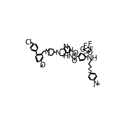 COc1ccc(-c2ccc(Cl)cc2)c(CN2CCC(N3CCc4c(ncnc4NS(=O)(=O)c4ccc(N[C@H](C)CCSc5ccc(N(C)C)cc5)c(S(=O)(=O)C(F)(F)F)c4)C3)CC2)c1